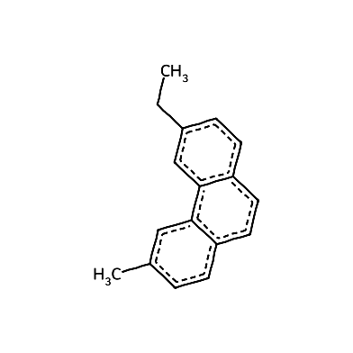 CCc1ccc2ccc3ccc(C)cc3c2c1